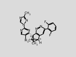 Cc1ncn(-c2ncc(F)c([C@]34CC[C@@H](c5cc(-c6c(F)cccc6F)nnc53)C4(C)C)n2)n1